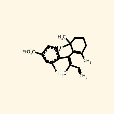 C=C/C(C)=C(\C1=C(C)CCCC1(C)C)c1ccc(C(=O)OCC)cc1F